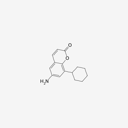 Nc1cc(C2CCCCC2)c2oc(=O)ccc2c1